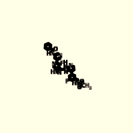 CS(=O)(=O)NCc1cc(F)cc(-c2ccnc3[nH]c(-c4n[nH]c5cnc(-c6cncc(NC(=O)c7ccccc7)c6)c(F)c45)nc23)c1